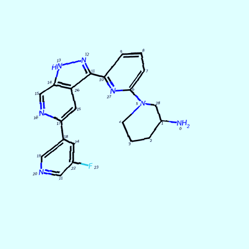 NC1CCCN(c2cccc(-c3n[nH]c4cnc(-c5cncc(F)c5)cc34)n2)C1